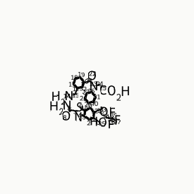 Cc1cc2nc(C(N)=O)sc2cc1C.NCc1cccc(C(=O)N(CC(=O)O)c2ccccc2)c1.O=C(O)C(F)(F)F